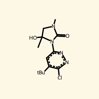 CN1CC(C)(O)N(c2cc(C(C)(C)C)c(Cl)nn2)C1=O